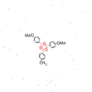 COc1ccc(B2OB(c3ccc(C)cc3)OB(c3ccc(OC)cc3)O2)cc1